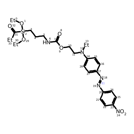 CCO[Si](CCCNC(=O)OCCN(CC)c1ccc(/N=N/c2ccc([N+](=O)[O-])cc2)cc1)(OCC)C(=O)CC